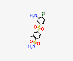 Cc1cc(S(=O)(=O)c2ccc(Cl)c(N)c2)ccc1S(N)(=O)=O